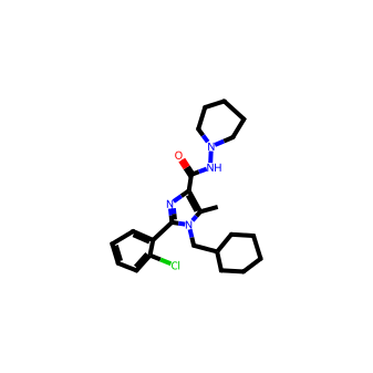 Cc1c(C(=O)NN2CCCCC2)nc(-c2ccccc2Cl)n1CC1CCCCC1